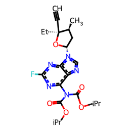 C#C[C@]1(CC)O[C@@H](n2cnc3c(N(C(=O)OC(C)C)C(=O)OC(C)C)nc(F)nc32)C[C@@H]1C